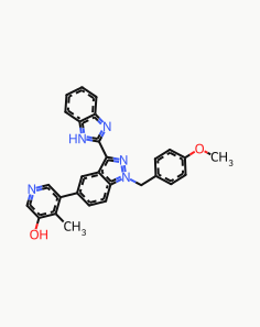 COc1ccc(Cn2nc(-c3nc4ccccc4[nH]3)c3cc(-c4cncc(O)c4C)ccc32)cc1